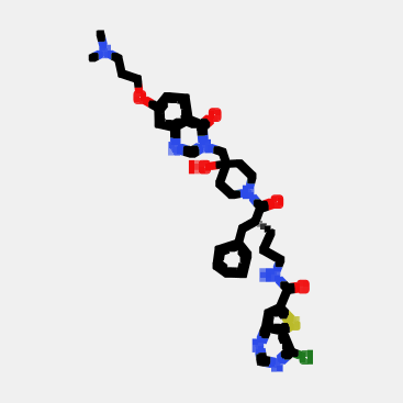 CN(C)CCCOc1ccc2c(=O)n(CC3(O)CCN(C(=O)[C@H](CCCNC(=O)c4cc5ncnc(Cl)c5s4)Cc4ccccc4)CC3)cnc2c1